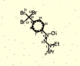 CCCN(CC)N=[N+]([O-])c1ccc(C(Br)(Br)Br)cc1